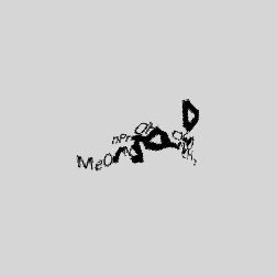 CCCC(O)(c1ccc(N(C)S(=O)(=O)c2ccccc2)cc1)c1cccn1CCOC